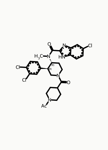 CC(=O)N1CCC(C(=O)N2CC[C@@H](N(C)C(=O)c3nc4cc(Cl)ccc4[nH]3)[C@H](c3ccc(Cl)c(Cl)c3)C2)CC1